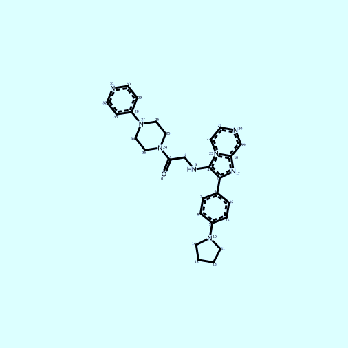 O=C(CNc1c(-c2ccc(N3CCCC3)cc2)nc2cnccn12)N1CCN(c2ccncc2)CC1